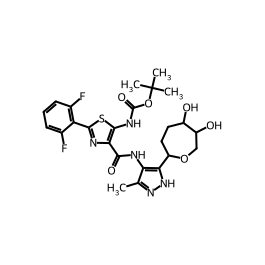 Cc1n[nH]c(C2CCC(O)C(O)CO2)c1NC(=O)c1nc(-c2c(F)cccc2F)sc1NC(=O)OC(C)(C)C